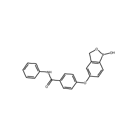 O=C(Nc1ccccc1)c1ccc(Oc2ccc3c(c2)COB3O)cc1